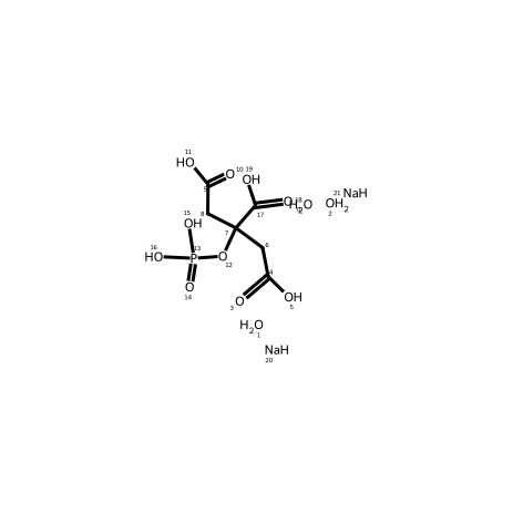 O.O.O.O=C(O)CC(CC(=O)O)(OP(=O)(O)O)C(=O)O.[NaH].[NaH]